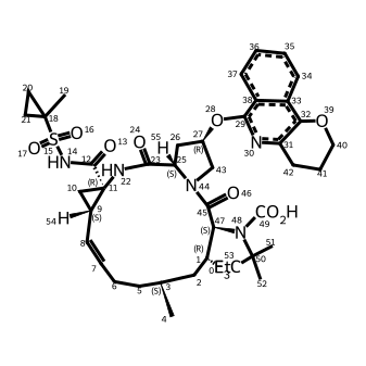 CC[C@@H]1C[C@@H](C)CCC=C[C@@H]2C[C@@]2(C(=O)NS(=O)(=O)C2(C)CC2)NC(=O)[C@@H]2C[C@@H](Oc3nc4c(c5ccccc35)OCCC4)CN2C(=O)[C@H]1N(C(=O)O)C(C)(C)C(F)(F)F